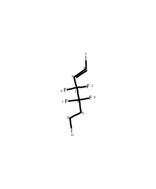 FC(F)(C=CI)C(F)(F)CCI